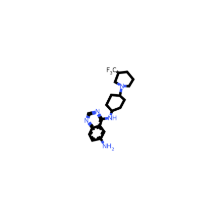 Nc1ccc2ncnc(NC3CCC(N4CCCC(C(F)(F)F)C4)CC3)c2c1